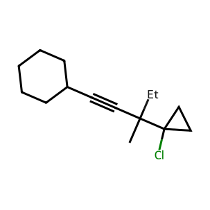 CCC(C)(C#CC1CCCCC1)C1(Cl)CC1